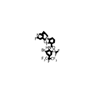 O=C(Nc1c(Br)cc(C(F)(C(F)(F)F)C(F)(F)F)cc1OC(F)F)c1cccc(N(CC2CC2)C(=O)c2ccnc(F)c2)c1F